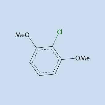 COc1[c]ccc(OC)c1Cl